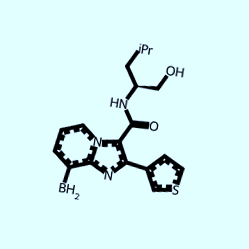 Bc1cccn2c(C(=O)N[C@H](CO)CC(C)C)c(-c3ccsc3)nc12